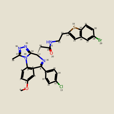 COc1ccc2c(c1)C(c1ccc(Cl)cc1)=N[C@@H](CC(=O)NCCc1cc3cc(Br)ccc3s1)c1nnc(C)n1-2